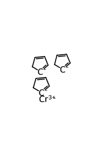 [C-]1=CC=CC1.[C-]1=CC=CC1.[C-]1=CC=CC1.[Cr+3]